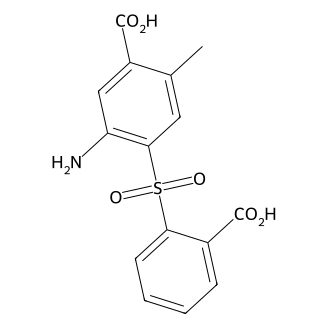 Cc1cc(S(=O)(=O)c2ccccc2C(=O)O)c(N)cc1C(=O)O